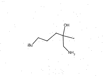 CCC(C)CCCC(C)(O)CN